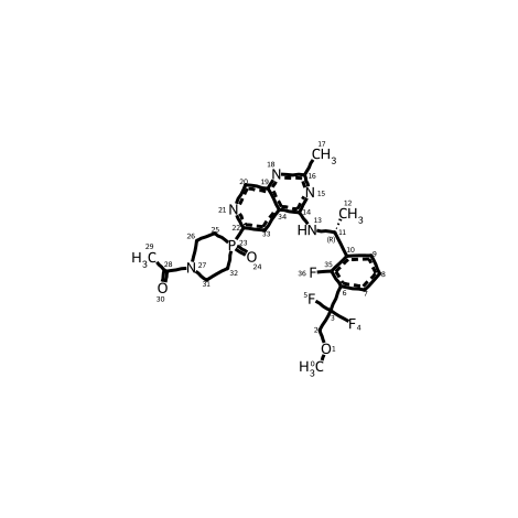 COCC(F)(F)c1cccc([C@@H](C)Nc2nc(C)nc3cnc(P4(=O)CCN(C(C)=O)CC4)cc23)c1F